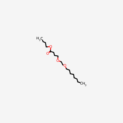 CCCCCCCCOCCOCCCC(=O)OCCCC